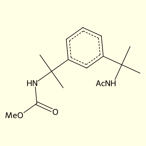 COC(=O)NC(C)(C)c1cccc(C(C)(C)NC(C)=O)c1